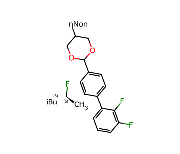 CCCCCCCCCC1COC(c2ccc(-c3cccc(F)c3F)cc2)OC1.CC[C@H](C)[C@H](C)F